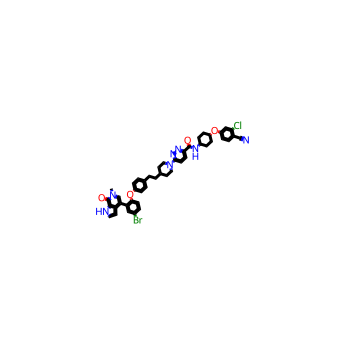 Cn1cc(-c2cc(Br)ccc2Oc2ccc(CCC3CCN(c4ccc(C(=O)NC5CCC(Oc6ccc(C#N)c(Cl)c6)CC5)nn4)CC3)cc2)c2cc[nH]c2c1=O